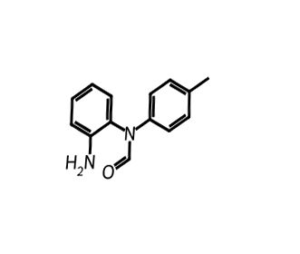 Cc1ccc(N(C=O)c2ccccc2N)cc1